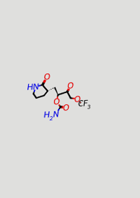 NC(=O)O[C@@H](C[C@@H]1CCCNC1=O)C(=O)COC(F)(F)F